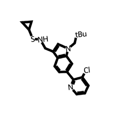 CC(C)(C)Cn1cc(CNSC2CC2)c2ccc(-c3ncccc3Cl)cc21